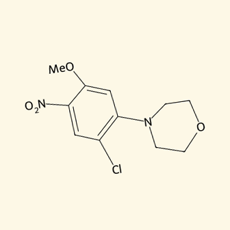 COc1cc(N2CCOCC2)c(Cl)cc1[N+](=O)[O-]